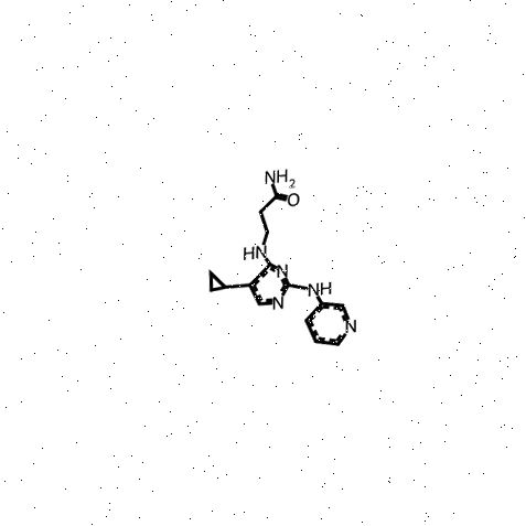 NC(=O)CCNc1nc(Nc2cccnc2)ncc1C1CC1